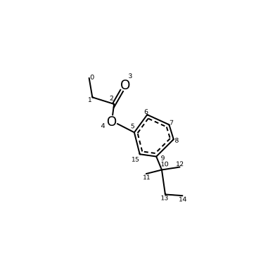 CCC(=O)Oc1cccc(C(C)(C)CC)c1